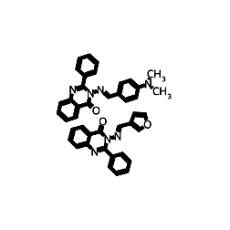 CN(C)c1ccc(C=Nn2c(-c3ccccc3)nc3ccccc3c2=O)cc1.O=c1c2ccccc2nc(-c2ccccc2)n1N=Cc1ccoc1